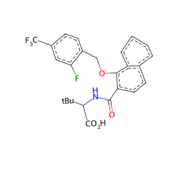 CC(C)(C)C(NC(=O)c1ccc2ccccc2c1OCc1ccc(C(F)(F)F)cc1F)C(=O)O